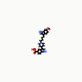 COc1ccc2c(CCCCN3CCC(c4c[nH]c5ccc(C(=O)O)cc45)CC3)c[nH]c2c1